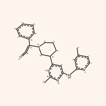 Cc1ccnc([AsH]c2cc(C3CCCN(C(=C=O)c4ccccc4)C3)nc(C)n2)c1